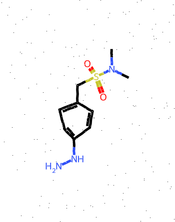 CN(C)S(=O)(=O)Cc1ccc(NN)cc1